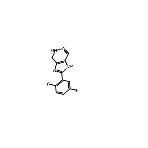 Fc1ccc(F)c(-c2nc3c([nH]2)C=NNC3)c1